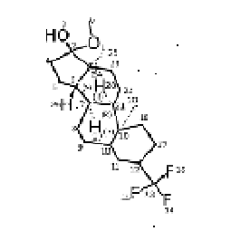 COC1(O)CC[C@H]2[C@@H]3CCC4CC(C(F)(F)F)CC[C@]4(C)[C@@H]3CC[C@@]21C